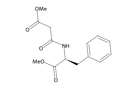 COC(=O)CC(=O)N[C@@H](Cc1ccccc1)C(=O)OC